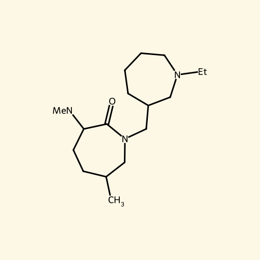 CCN1CCCCC(CN2CC(C)CCC(NC)C2=O)C1